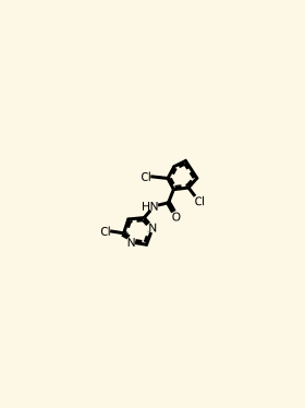 O=C(Nc1cc(Cl)ncn1)c1c(Cl)cccc1Cl